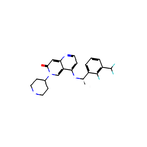 C[C@@H](Nc1ccnc2cc(=O)n(C3CCNCC3)cc12)c1cccc(C(F)F)c1F